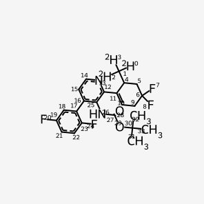 [2H]C([2H])([2H])C1CC(F)(F)CC=C1c1nccc(-c2cc(F)ccc2F)c1NC(=O)OC(C)(C)C